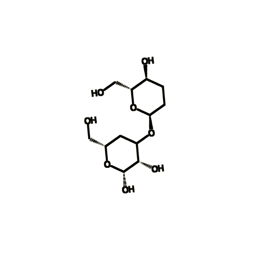 OC[C@@H]1CC(O[C@@H]2CC[C@H](O)[C@@H](CO)O2)[C@H](O)[C@H](O)O1